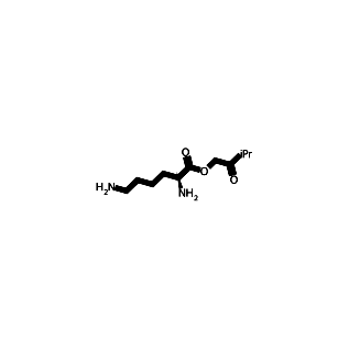 CC(C)C(=O)COC(=O)[C@@H](N)CCCCN